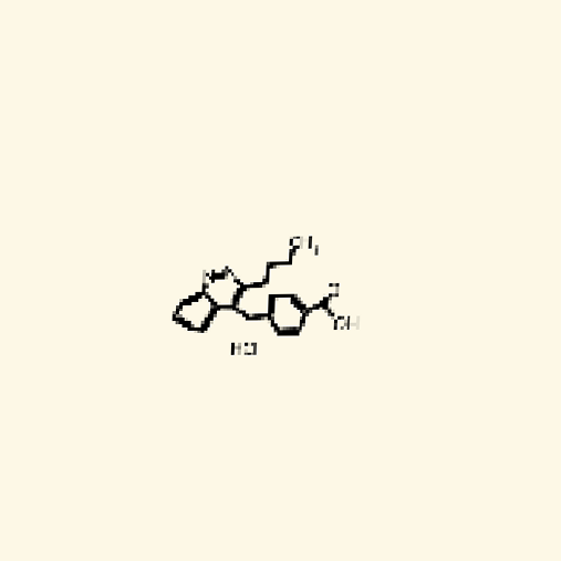 CCCCc1nnc2ccccc2c1Cc1ccc(C(=O)O)cc1.Cl